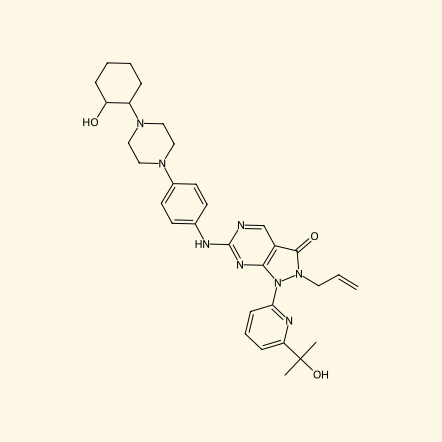 C=CCn1c(=O)c2cnc(Nc3ccc(N4CCN(C5CCCCC5O)CC4)cc3)nc2n1-c1cccc(C(C)(C)O)n1